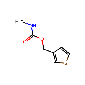 CNC(=O)OCc1[c]scc1